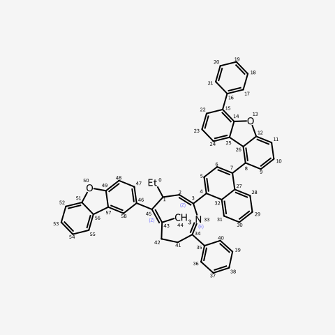 CCC1/C=C(c2ccc(-c3cccc4oc5c(-c6ccccc6)cccc5c34)c3ccccc23)\N=C(\c2ccccc2)CC/C(C)=C/1c1ccc2oc3ccccc3c2c1